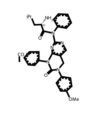 CC(=O)O.COc1ccc(N2Cc3cnc(N(C(=O)[C@@H](N)CC(C)C)c4ccccc4)nc3N(c3ccccc3)C2=O)cc1